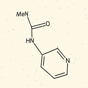 CNC(=O)Nc1[c]nccc1